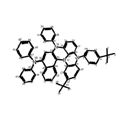 CC(C)(C)c1ccc(N2c3ccc(C(C)(C)C)cc3B3c4c2cccc4N(c2ccccc2)c2cc(N(c4ccccc4)c4ccccc4)c4ccccc4c23)cc1